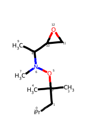 CC(C)CC(C)(C)ON(C)C(C)C1CO1